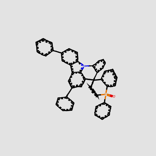 O=P1(c2ccccc2)c2ccccc2C2(c3ccccc3-n3c4ccc(-c5ccccc5)cc4c4cc(-c5ccccc5)cc2c43)c2ccccc21